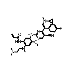 C=CC(=O)Nc1cc(Nc2ncc(C#N)c(/C(=C/N(C)C3CC3)c3ccc(F)cc3)n2)c(OC)cc1N(C)CCN(C)C